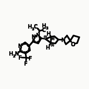 CC(C)n1nc(-c2cnc(N)c(C(F)(F)F)c2)cc1[C@H]1[C@@H]2CC(N3CC4(CCCO4)C3)C[C@@H]21